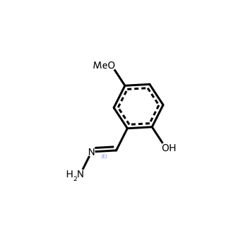 COc1ccc(O)c(/C=N/N)c1